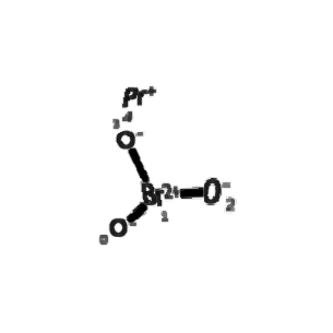 [O-][Br+2]([O-])[O-].[Pr+]